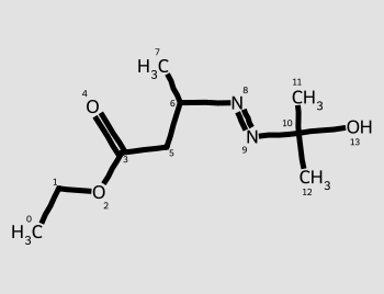 CCOC(=O)CC(C)/N=N/C(C)(C)O